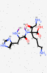 NCCCCC(C(=O)O)(C(=O)CN)N(I)C(=O)C(Cc1c[nH]cn1)NI